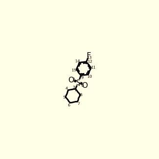 O=S(=O)([C]1CCCCC1)c1ccc(F)cc1